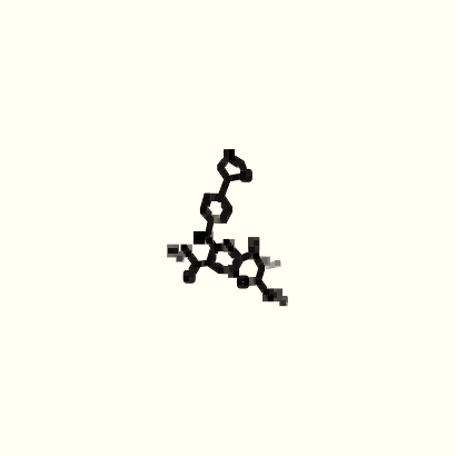 C[C@@H](Nc1ncc(C(N)=O)c(Nc2ccc(C3CN=CO3)cc2)n1)C(N)=O